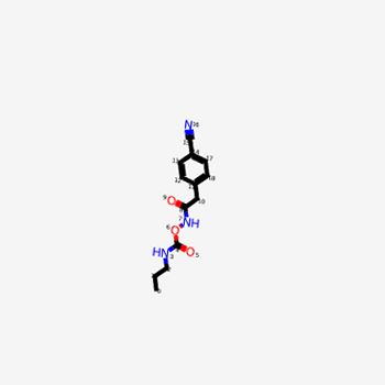 CCCNC(=O)ONC(=O)Cc1ccc(C#N)cc1